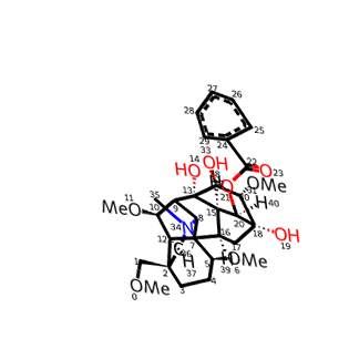 COC[C@@]12CC[C@H](OC)C34C(C([C@H](OC)[C@@H]31)[C@]1(O)[C@@H]3[C@H]4C[C@@](O)([C@@H]3OC(=O)c3ccccc3)[C@@H](OC)[C@@H]1O)N(C)C2